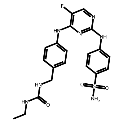 CCNC(=O)NCc1ccc(Nc2nc(Nc3ccc(S(N)(=O)=O)cc3)ncc2F)cc1